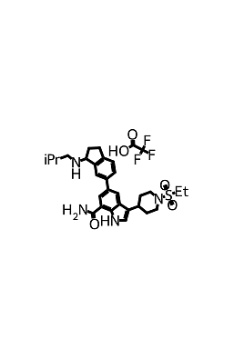 CCS(=O)(=O)N1CCC(c2c[nH]c3c(C(N)=O)cc(-c4ccc5c(c4)C(NCC(C)C)CC5)cc23)CC1.O=C(O)C(F)(F)F